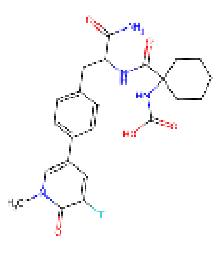 Cn1cc(-c2ccc(CC(NC(=O)C3(NC(=O)O)CCCCC3)C(N)=O)cc2)cc(F)c1=O